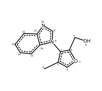 Cc1coc(CO)c1-n1cnc2ccccc21